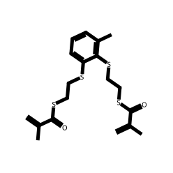 C=C(C)C(=O)SCCSc1cccc(C)c1SCCSC(=O)C(=C)C